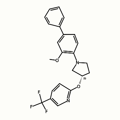 COc1cc(-c2ccccc2)ccc1N1CC[C@H](Oc2ccc(C(F)(F)F)cn2)C1